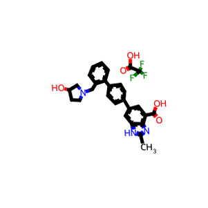 Cc1nc2c(C(=O)O)cc(-c3ccc(-c4ccccc4CN4CCC(O)C4)cc3)cc2[nH]1.O=C(O)C(F)(F)F